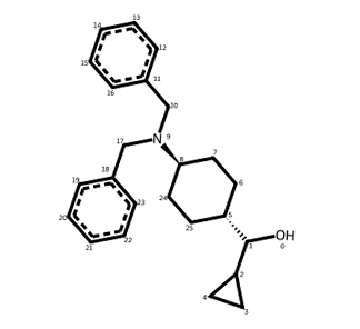 OC(C1CC1)[C@H]1CC[C@H](N(Cc2ccccc2)Cc2ccccc2)CC1